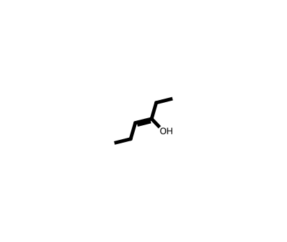 CC/C=C(\O)CC